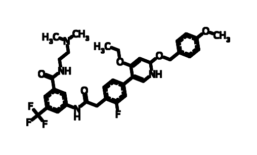 CCOC1=CC(OCc2ccc(OC)cc2)NC=C1c1ccc(CC(=O)Nc2cc(C(=O)NCCN(C)C)cc(C(F)(F)F)c2)c(F)c1